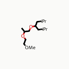 COCCOC(C)COC(CC(C)C)CC(C)C